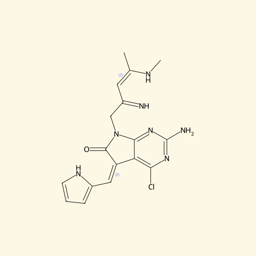 CN/C(C)=C\C(=N)CN1C(=O)/C(=C\c2ccc[nH]2)c2c(Cl)nc(N)nc21